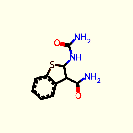 NC(=O)NC1Sc2ccccc2C1C(N)=O